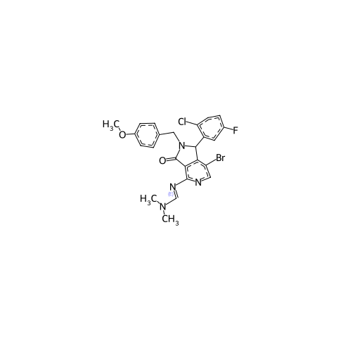 COc1ccc(CN2C(=O)c3c(/N=C/N(C)C)ncc(Br)c3C2c2cc(F)ccc2Cl)cc1